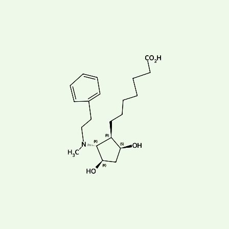 CN(CCc1ccccc1)[C@@H]1[C@@H](CCCCCCC(=O)O)[C@@H](O)C[C@H]1O